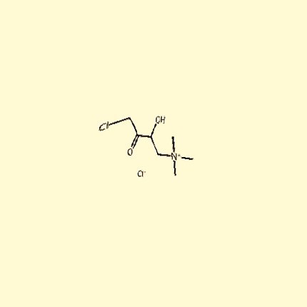 C[N+](C)(C)CC(O)C(=O)CCl.[Cl-]